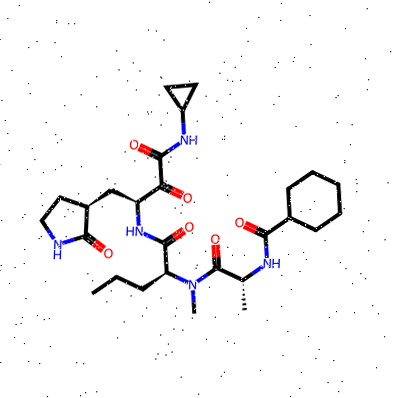 CCC[C@@H](C(=O)N[C@@H](C[C@@H]1CCNC1=O)C(=O)C(=O)NC1CC1)N(C)C(=O)[C@@H](C)NC(=O)C1CCCCC1